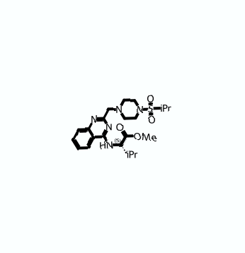 COC(=O)[C@@H](Nc1nc(CN2CCN(S(=O)(=O)C(C)C)CC2)nc2ccccc12)C(C)C